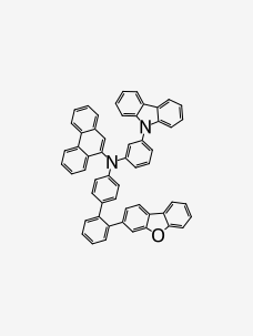 c1cc(N(c2ccc(-c3ccccc3-c3ccc4c(c3)oc3ccccc34)cc2)c2cc3ccccc3c3ccccc23)cc(-n2c3ccccc3c3ccccc32)c1